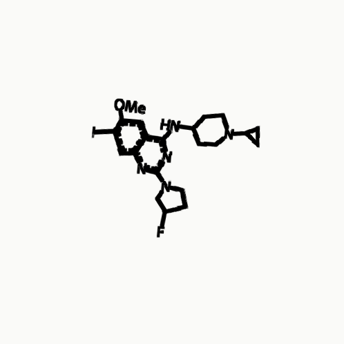 COc1cc2c(NC3CCN(C4CC4)CC3)nc(N3CCC(F)C3)nc2cc1I